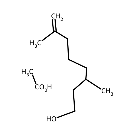 C=C(C)CCCC(C)CCO.CC(=O)O